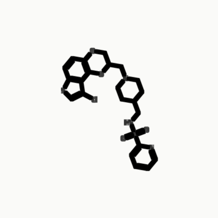 O=S(=O)(NCC1CCN(CC2COc3ccc4scc(Cl)c4c3O2)CC1)c1ccccn1